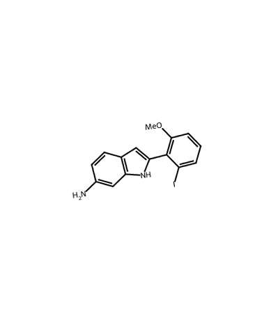 COc1cccc(I)c1-c1cc2ccc(N)cc2[nH]1